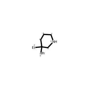 CCCC1(CC)CCCNC1